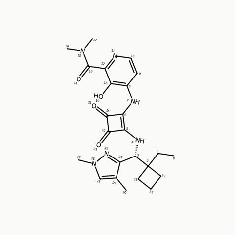 CCC1([C@@H](Nc2c(Nc3ccnc(C(=O)N(C)C)c3O)c(=O)c2=O)c2nn(C)cc2C)CCC1